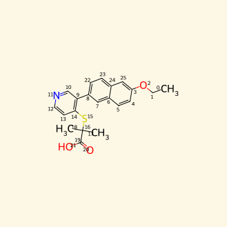 CCOc1ccc2cc(-c3cnccc3SC(C)(C)C(=O)O)ccc2c1